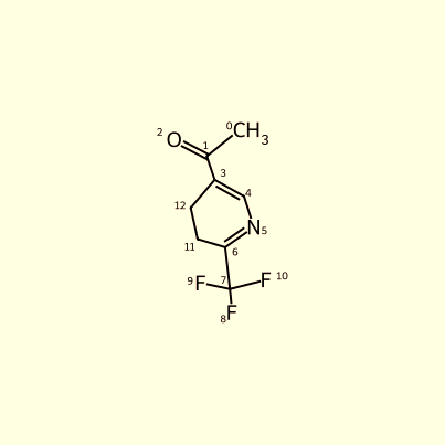 CC(=O)C1=CN=C(C(F)(F)F)CC1